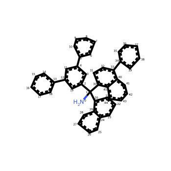 NC(c1cc(-c2ccccc2)cc(-c2ccccc2)c1)(c1cccc2ccccc12)c1ccc(-c2ccccc2)c2ccccc12